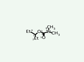 CCC(CC)OC(=O)N(C)C